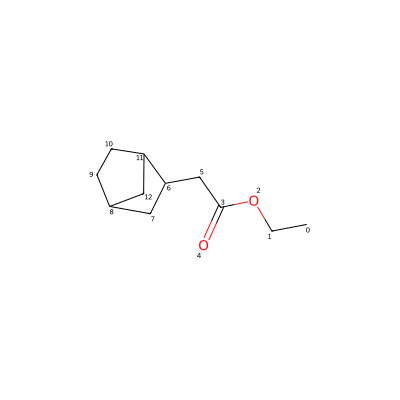 CCOC(=O)CC1CC2CCC1C2